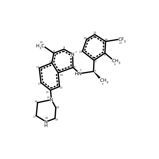 Cc1c([C@@H](C)Nc2ncc(C)c3ccc(N4CCNCC4)cc23)cccc1C(F)(F)F